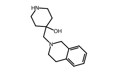 OC1(CN2CCc3ccccc3C2)CCNCC1